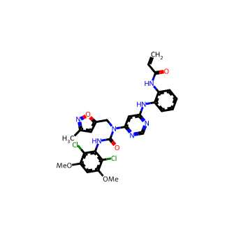 C=CC(=O)Nc1ccccc1Nc1cc(N(Cc2cc(C)no2)C(=O)Nc2c(Cl)c(OC)cc(OC)c2Cl)ncn1